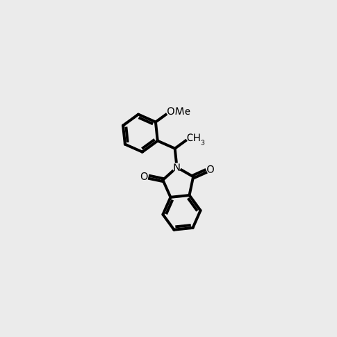 COc1ccccc1C(C)N1C(=O)c2ccccc2C1=O